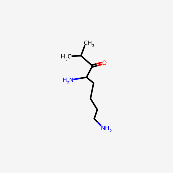 CC(C)C(=O)C(N)CCCCN